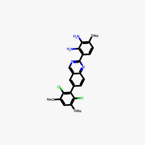 COc1ccc(-c2ncc3cc(-c4c(Cl)c(OC)cc(OC)c4Cl)ccc3n2)c(N)c1N